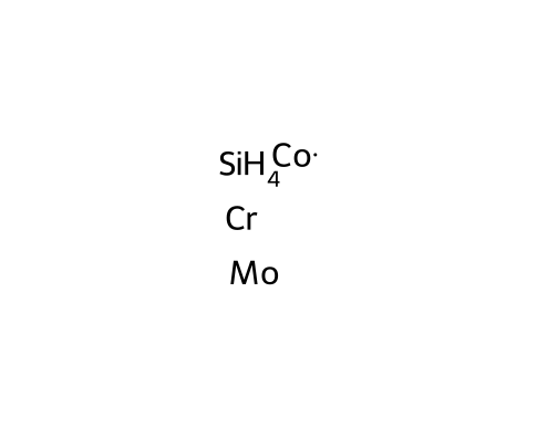 [Co].[Cr].[Mo].[SiH4]